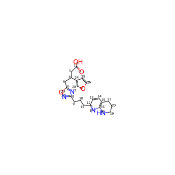 O=C(O)CC(Cc1nc(CCCc2ccc3c(n2)NCCC3)no1)c1ccoc1